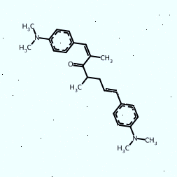 CC(=Cc1ccc(N(C)C)cc1)C(=O)C(C)CC=Cc1ccc(N(C)C)cc1